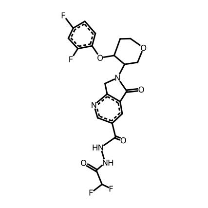 O=C(NNC(=O)C(F)F)c1cnc2c(c1)C(=O)N(C1COCCC1Oc1ccc(F)cc1F)C2